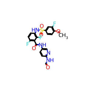 COc1ccc(S(=O)(=O)Nc2ccc(F)c(C(=O)Nc3ccc(NC=O)nc3)c2F)cc1F